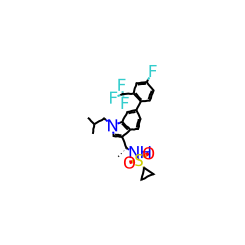 CC(C)Cn1cc([C@@H](C)NS(=O)(=O)C2CC2)c2ccc(-c3ccc(F)cc3C(F)(F)F)cc21